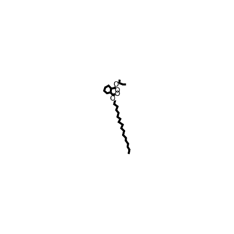 CCCCCCCCCCCCCCCCCCOC(=O)C1CCCCC1C(=O)OC(C)CC